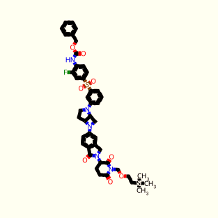 C[Si](C)(C)CCOCN1C(=O)CCC(N2Cc3cc(N4CC5C4CCN5c4cccc(S(=O)(=O)c5ccc(NC(=O)OCc6ccccc6)c(F)c5)c4)ccc3C2=O)C1=O